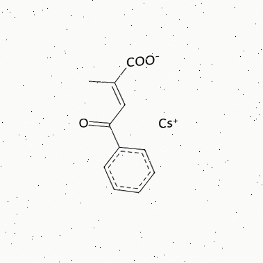 CC(=CC(=O)c1ccccc1)C(=O)[O-].[Cs+]